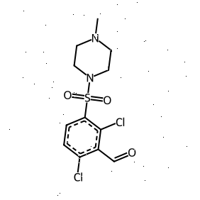 CN1CCN(S(=O)(=O)c2ccc(Cl)c(C=O)c2Cl)CC1